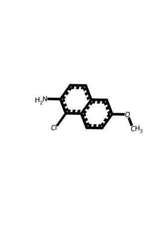 COc1ccc2c(Cl)c(N)ccc2c1